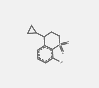 O=S1(=O)CCC(C2CC2)c2cccc(Br)c21